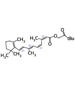 CC1=C(/C=C/C(C)=C/C=C\C(C)=C/C(=O)OCC(=O)C(C)(C)C)C(C)(C)CCC1